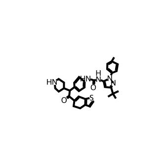 Cc1ccc(-n2nc(C(C)(C)C)cc2NC(=O)Nc2ccc(C(C(=O)C3=Cc4sccc4CC3)C3CCNCC3)cc2)cc1